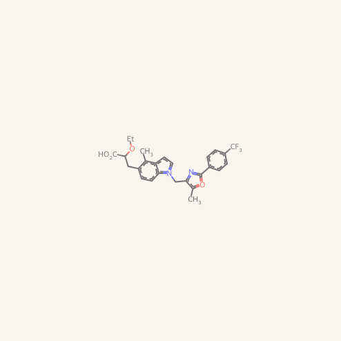 CCOC(Cc1ccc2c(ccn2Cc2nc(-c3ccc(C(F)(F)F)cc3)oc2C)c1C)C(=O)O